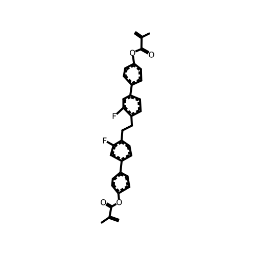 C=C(C)C(=O)Oc1ccc(-c2ccc(CCc3ccc(-c4ccc(OC(=O)C(=C)C)cc4)cc3F)c(F)c2)cc1